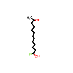 CC(O)CCCCCCCCCCC(O)F